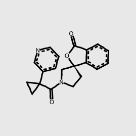 O=C1O[C@]2(CCN(C(=O)C3(c4cccnc4)CC3)C2)c2ccccc21